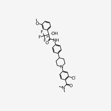 COc1cccc([C@@](O)(C(=O)Nc2ccc(C3CCN(c4ccc(C(=O)N(C)C)c(Cl)c4)CC3)cc2)C(F)(F)F)c1